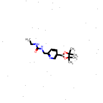 CCNC(=O)NCc1ccc(B2OC(C)(C)C(C)(C)O2)cn1